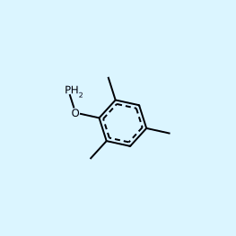 Cc1cc(C)c(OP)c(C)c1